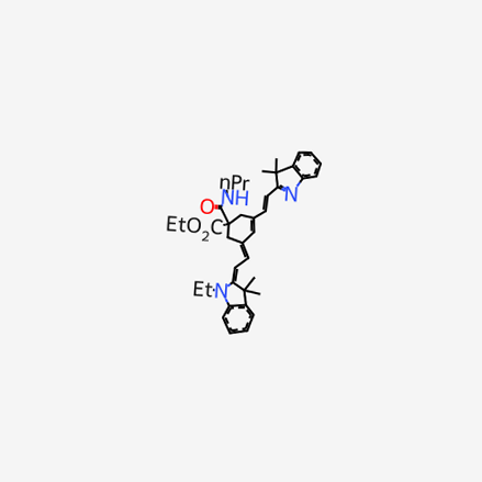 CCCNC(=O)C1(C(=O)OCC)CC(/C=C/C2=Nc3ccccc3C2(C)C)=CC(=C/C=C2/N(CC)c3ccccc3C2(C)C)/C1